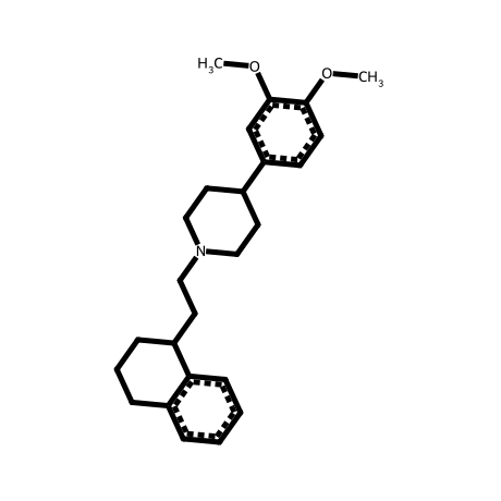 COc1ccc(C2CCN(CCC3CCCc4ccccc43)CC2)cc1OC